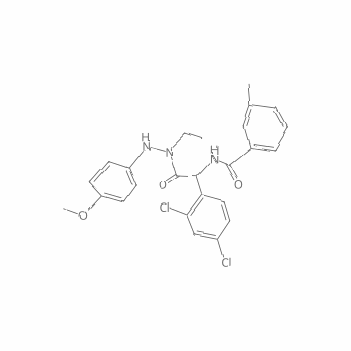 CCN(Nc1ccc(OC)cc1)C(=O)C(NC(=O)c1cccc(C)c1)c1ccc(Cl)cc1Cl